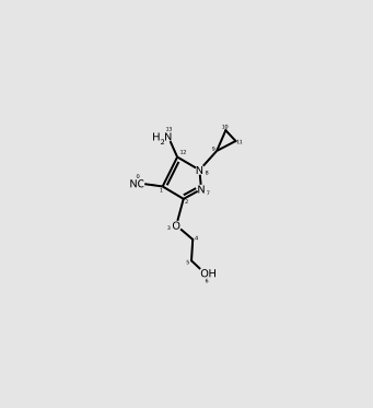 N#Cc1c(OCCO)nn(C2CC2)c1N